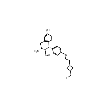 CSN1[C@@H](c2ccc(OCCN3CC(CF)C3)cc2)c2ccc(O)cc2C[C@H]1C